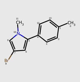 Cc1ccc(-c2cc(Br)cn2C)cc1